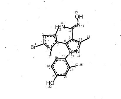 Cc1cc(Br)n(C)c1-c1c(/C(N)=N/O)c(C)nn1-c1ccc(O)cc1F